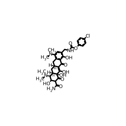 CN(C)c1cc(CNC(=O)Oc2ccc(Cl)cc2)c(O)c2c1C[C@H]1C[C@H]3[C@H](N(C)C)C(O)C(C(N)=O)C(=O)[C@@]3(O)C(O)=C1C2=O